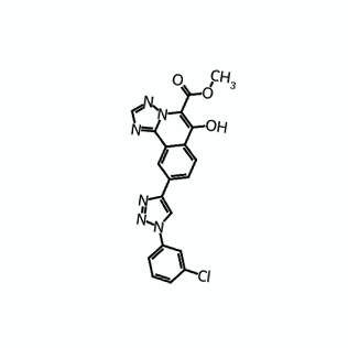 COC(=O)c1c(O)c2ccc(-c3cn(-c4cccc(Cl)c4)nn3)cc2c2ncnn12